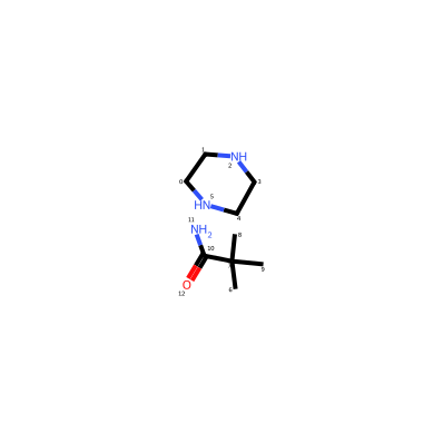 C1CNCCN1.CC(C)(C)C(N)=O